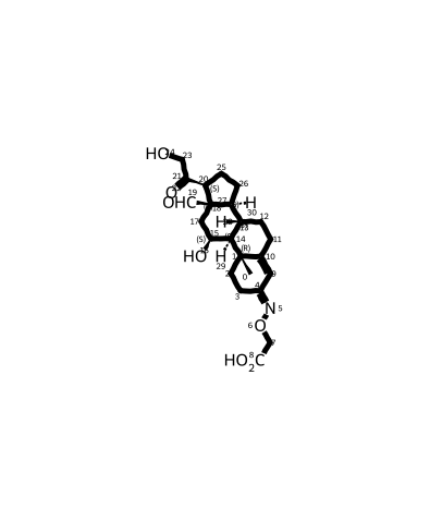 C[C@]12CCC(=NOCC(=O)O)C=C1CC[C@@H]1[C@@H]2[C@@H](O)C[C@]2(C=O)[C@@H](C(=O)CO)CC[C@@H]12